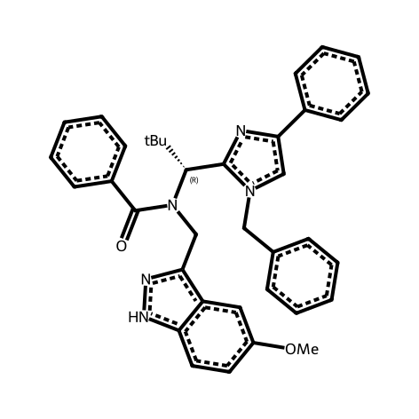 COc1ccc2[nH]nc(CN(C(=O)c3ccccc3)[C@@H](c3nc(-c4ccccc4)cn3Cc3ccccc3)C(C)(C)C)c2c1